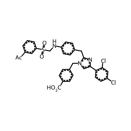 CC(=O)c1cccc(S(=O)(=O)CNc2ccc(Cc3nc(-c4ccc(Cl)cc4Cl)cn3Cc3ccc(C(=O)O)cc3)cc2)c1